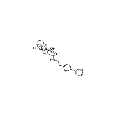 O=C1CC[C@@]2(O)[C@@H]3CCC[C@@]2(C1)c1c(ccc(C(=O)NCCc2ccc(-c4cccnc4)cc2)c1O)C3